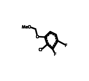 COCOc1ccc(F)c(F)c1Cl